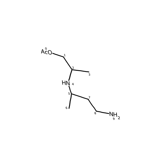 CC(=O)OCC(C)NC(C)CCN